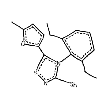 CCc1cccc(CC)c1-n1c(S)nnc1-c1ccc(C)o1